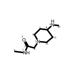 CNC(=O)CN1CCC(NC)CC1